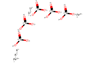 [Fe+3].[Fe+3].[K+].[K+].[Li+].[Li+].[O]=[Ti]([O-])[O-].[O]=[Ti]([O-])[O-].[O]=[Ti]([O-])[O-].[O]=[Ti]([O-])[O-].[O]=[Ti]([O-])[O-]